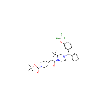 CC(C)(C)OC(=O)N1CCC(CC(=O)N2CCN(C(c3ccccc3)c3cccc(OC(F)(F)F)c3)C[C@@H]2C(C)(C)C)CC1